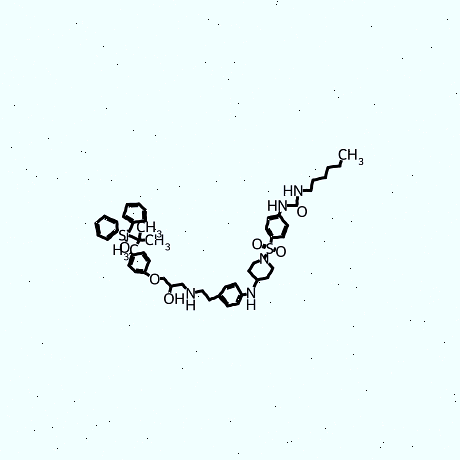 CCCCCCNC(=O)Nc1ccc(S(=O)(=O)N2CCC(Nc3ccc(CCNCC(O)COc4ccc(O[Si](c5ccccc5)(c5ccccc5)C(C)(C)C)cc4)cc3)CC2)cc1